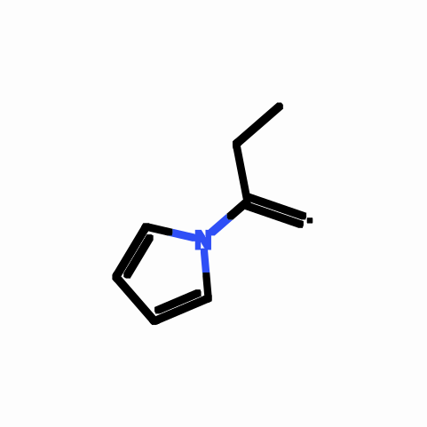 [CH]=C(CC)n1cccc1